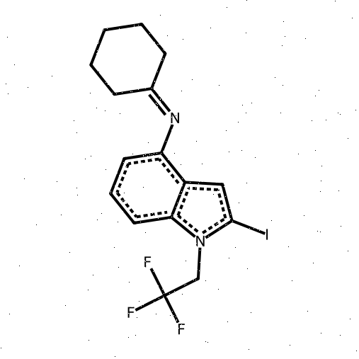 FC(F)(F)Cn1c(I)cc2c(N=C3CCCCC3)cccc21